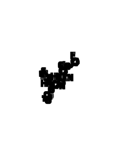 CC1(C)OC[C@@H](COc2cc3ncc(C#N)c(Nc4ccc(OCc5cccc(F)c5)c(Cl)c4)c3cc2NC(=O)C[C@@H]2CCSS2)O1